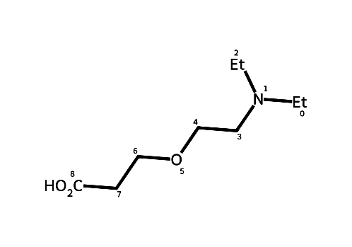 CCN(CC)CCOCCC(=O)O